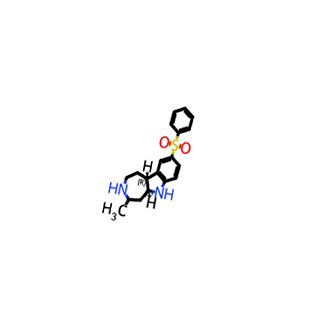 CC1C[C@@H]2Nc3ccc(S(=O)(=O)c4ccccc4)cc3[C@H]2CCN1